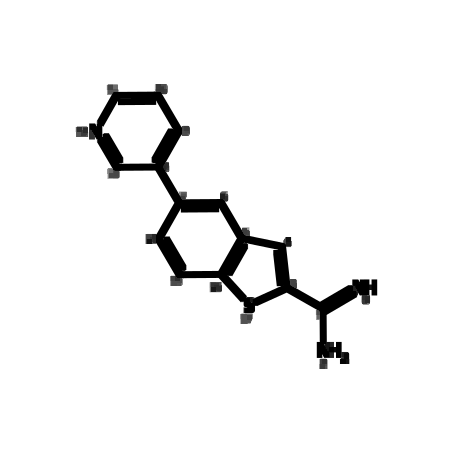 N=C(N)c1cc2cc(-c3cccnc3)ccc2s1